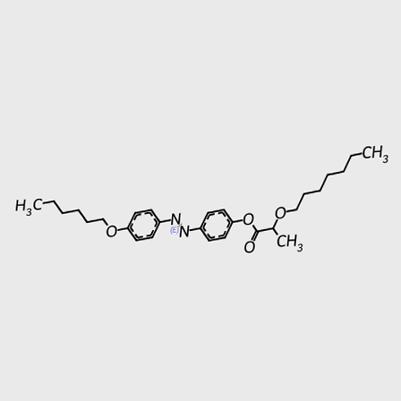 CCCCCCCOC(C)C(=O)Oc1ccc(/N=N/c2ccc(OCCCCCC)cc2)cc1